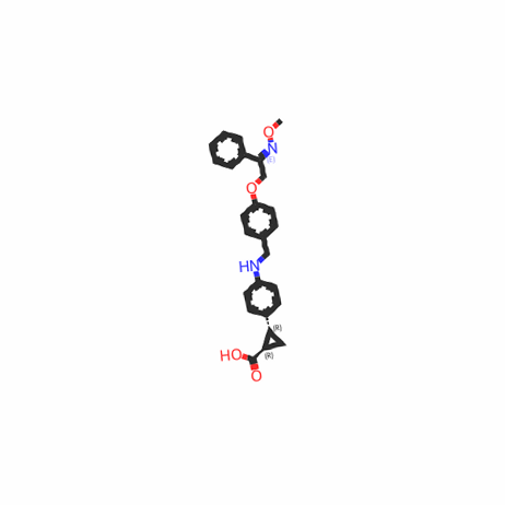 CO/N=C(/COc1ccc(CNc2ccc([C@@H]3C[C@H]3C(=O)O)cc2)cc1)c1ccccc1